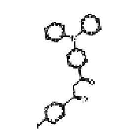 O=C(CC(=O)c1ccc(N(c2ccccc2)c2ccccc2)cc1)c1ccc(I)cc1